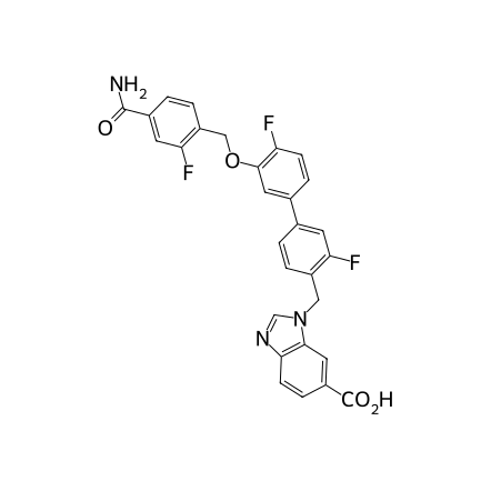 NC(=O)c1ccc(COc2cc(-c3ccc(Cn4cnc5ccc(C(=O)O)cc54)c(F)c3)ccc2F)c(F)c1